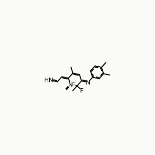 C=NC(=C\C=N)/C(C)=C\C(=N/c1ccc(C)c(C)c1)C(C)(F)F